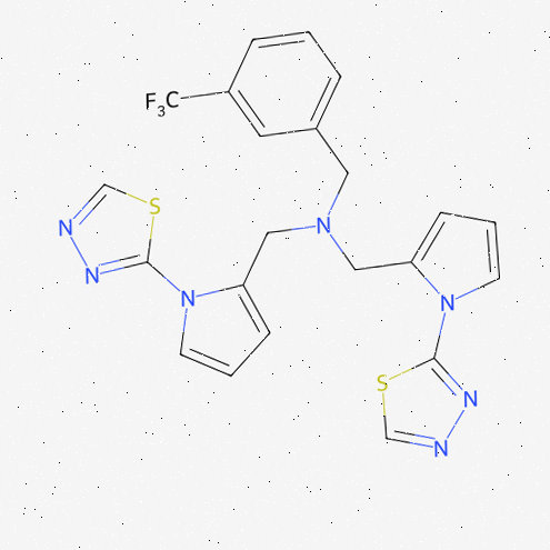 FC(F)(F)c1cccc(CN(Cc2cccn2-c2nncs2)Cc2cccn2-c2nncs2)c1